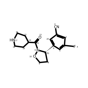 N#Cc1cc(F)cc([C@@H]2CCON2C(=O)C2CCNCC2)c1